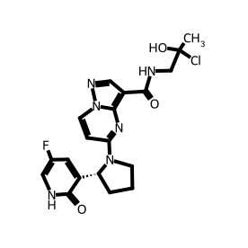 CC(O)(Cl)CNC(=O)c1cnn2ccc(N3CCC[C@@H]3c3cc(F)c[nH]c3=O)nc12